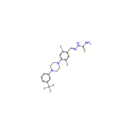 NC(=S)N/N=C/c1cc(F)c(N2CCN(c3cccc(C(F)(F)F)c3)CC2)cc1F